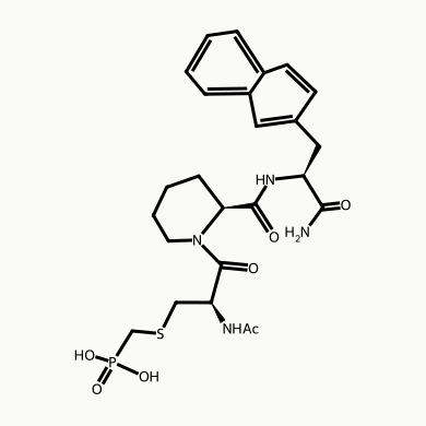 CC(=O)N[C@@H](CSCP(=O)(O)O)C(=O)N1CCCC[C@H]1C(=O)N[C@@H](Cc1ccc2ccccc2c1)C(N)=O